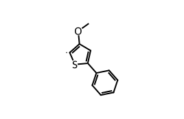 COc1[c]sc(-c2ccccc2)c1